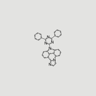 c1ccc(-c2nc(-c3ccccc3)nc(-n3c4cccc5c4c4c3cccc4n3ccnc53)n2)cc1